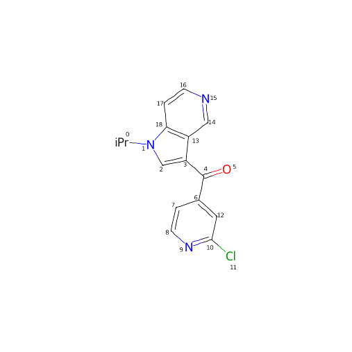 CC(C)n1cc(C(=O)c2ccnc(Cl)c2)c2cnccc21